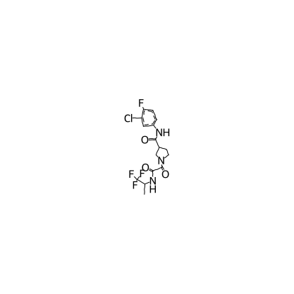 CC(NC(=O)C(=O)N1CCC(C(=O)Nc2ccc(F)c(Cl)c2)C1)C(F)(F)F